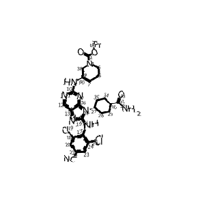 CC(C)OC(=O)N1CCC[C@@H](Nc2ncc3nc(Nc4c(Cl)cc(C#N)cc4Cl)n([C@H]4CC[C@H](C(N)=O)CC4)c3n2)C1